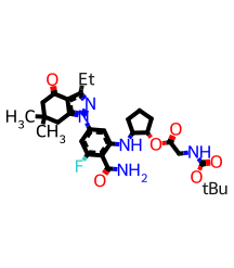 CCc1nn(-c2cc(F)c(C(N)=O)c(NC3CCCC3OC(=O)CNC(=O)OC(C)(C)C)c2)c2c1C(=O)CC(C)(C)C2